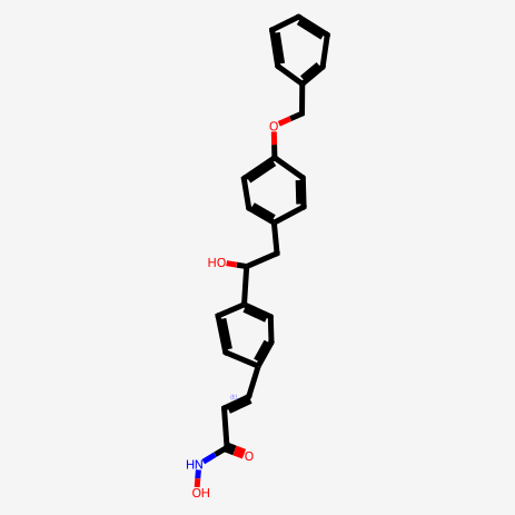 O=C(/C=C/c1ccc(C(O)Cc2ccc(OCc3ccccc3)cc2)cc1)NO